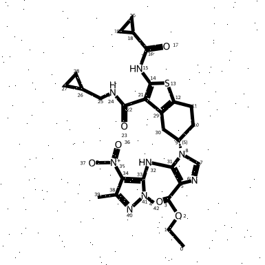 CCOC(=O)c1ncn([C@H]2CCc3sc(NC(=O)C4CC4)c(C(=O)NCC4CC4)c3C2)c1Nc1c([N+](=O)[O-])c(C)nn1C